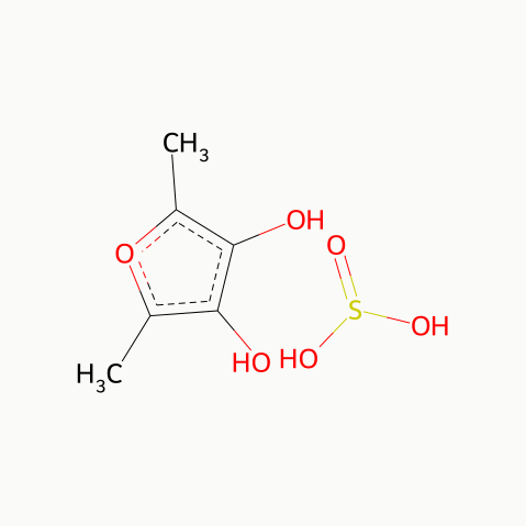 Cc1oc(C)c(O)c1O.O=S(O)O